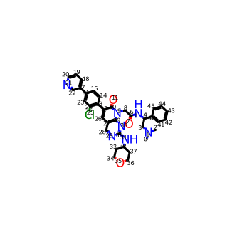 CN(C)CC(NC(=O)Cn1c(=O)c(-c2ccc(-c3cccnc3)cc2Cl)cc2cnc(NC3CCOCC3)nc21)c1ccccc1